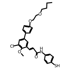 CCCCOCCOc1ccc(-c2cc(Cl)c(OC)c(/C=C/C(=O)Nc3ccc(S)cc3)c2)cc1